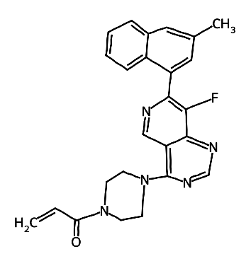 C=CC(=O)N1CCN(c2ncnc3c(F)c(-c4cc(C)cc5ccccc45)ncc23)CC1